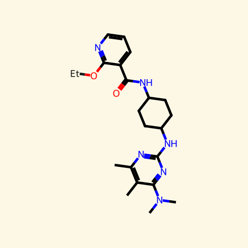 CCOc1ncccc1C(=O)NC1CCC(Nc2nc(C)c(C)c(N(C)C)n2)CC1